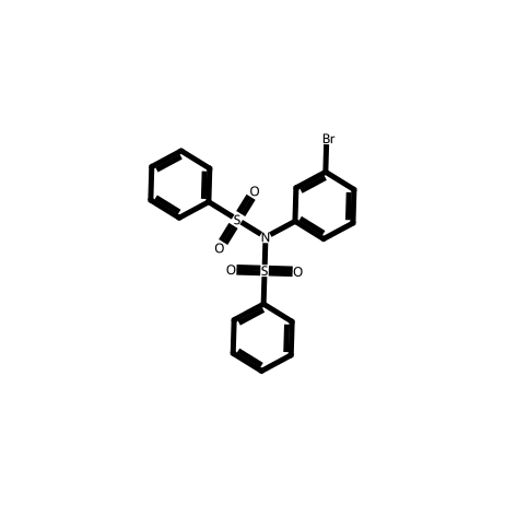 O=S(=O)(c1ccccc1)N(c1cccc(Br)c1)S(=O)(=O)c1ccccc1